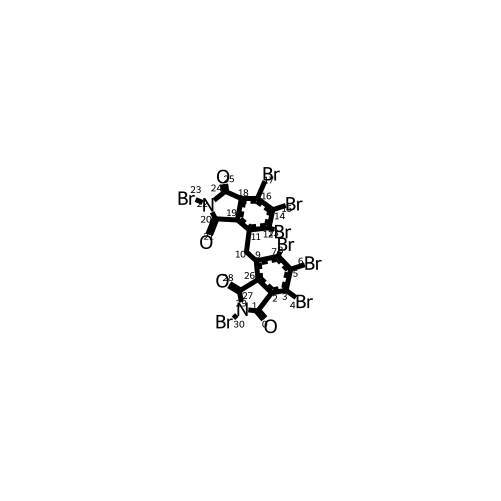 O=C1c2c(Br)c(Br)c(Br)c(Cc3c(Br)c(Br)c(Br)c4c3C(=O)N(Br)C4=O)c2C(=O)N1Br